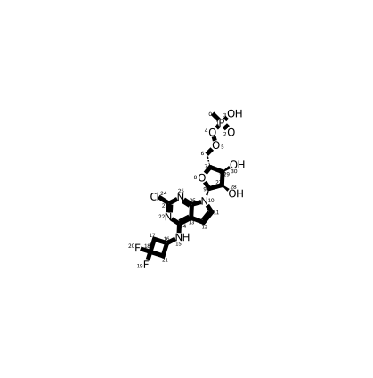 CP(=O)(O)OOC[C@H]1O[C@@H](n2ccc3c(NC4CC(F)(F)C4)nc(Cl)nc32)[C@H](O)[C@@H]1O